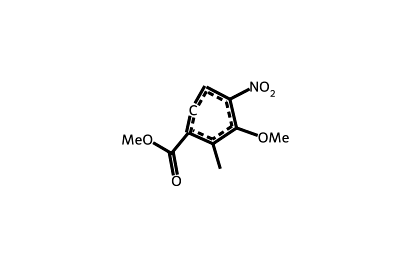 COC(=O)c1ccc([N+](=O)[O-])c(OC)c1C